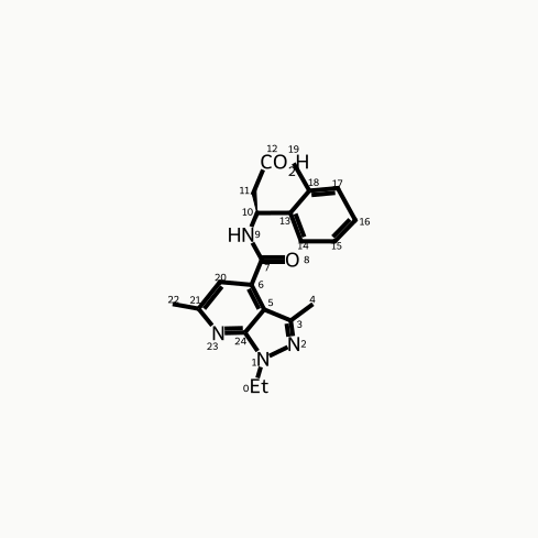 CCn1nc(C)c2c(C(=O)N[C@@H](CC(=O)O)c3ccccc3C)cc(C)nc21